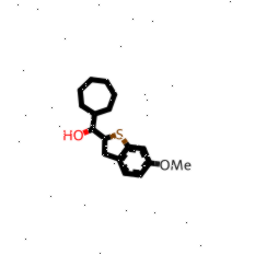 COc1ccc2c(c1)SC(C(O)C1CCCCCC1)C2